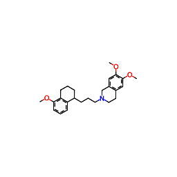 COc1cc2c(cc1OC)CN(CCCC1CCCc3c(OC)cccc31)CC2